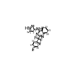 Cc1cc(Nc2nc(C(F)(F)c3ccc(F)cn3)nc3ccccc23)n[nH]1